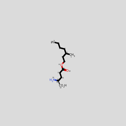 CC(C)CCCC(C)CCOC(=O)CC[C@H](N)C(=O)O